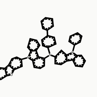 c1ccc(-c2ccc(N(c3ccc4c5ccccc5n(-c5ccccc5)c4c3)c3cccc4c3c3ccccc3n4-c3ccc4c(c3)oc3ccccc34)cc2)cc1